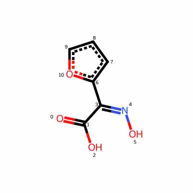 O=C(O)C(=NO)c1ccco1